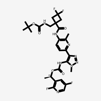 Cc1nc(-c2nnn(C)c2NC(=O)O[C@H](C)c2cc(F)cnc2F)ccc1NC(=O)C1(CNC(=O)OC(C)(C)C)CC(F)(F)C1